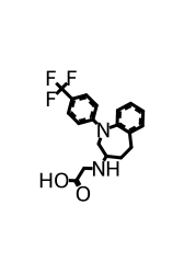 O=C(O)CNC1CCc2ccccc2N(c2ccc(C(F)(F)F)cc2)C1